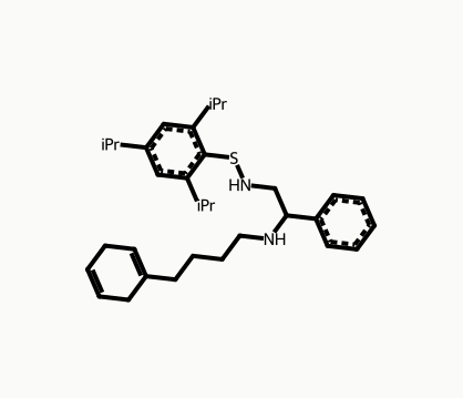 CC(C)c1cc(C(C)C)c(SNCC(NCCCCC2=CCC=CC2)c2ccccc2)c(C(C)C)c1